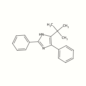 CC(C)(C)c1[nH]c(-c2ccccc2)nc1-c1ccccc1